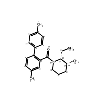 Cc1ccc(-c2ccc(C)cc2C(=O)N2CCC[C@@H](C)[C@H]2CN)nc1